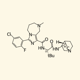 CN1CCCn2c(-c3cc(Cl)ccc3F)nc(C(=O)N[C@H](C(=O)N[C@H]3CN4CCC3CC4)C(C)(C)C)c2C1